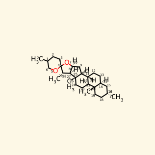 CC1CC[C@@]2(OC1)O[C@H]1C[C@H]3[C@@H]4CC[C@H]5C[C@H](C)CC[C@]5(C)[C@H]4CC[C@]3(C)[C@H]1[C@@H]2C